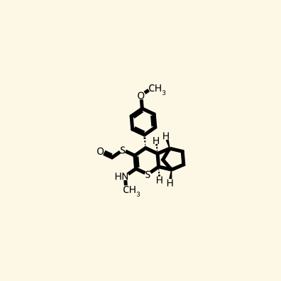 CNC1=C(SC=O)[C@H](c2ccc(OC)cc2)[C@H]2[C@@H]3CC[C@@H](C3)[C@H]2S1